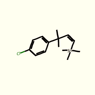 CC(C)(/C=[CH]\[Sn]([CH3])([CH3])[CH3])c1ccc(Cl)cc1